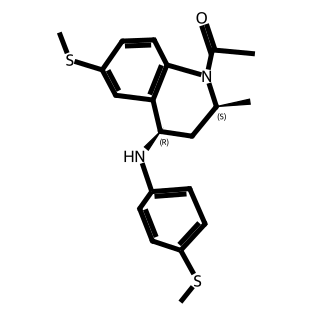 CSc1ccc(N[C@@H]2C[C@H](C)N(C(C)=O)c3ccc(SC)cc32)cc1